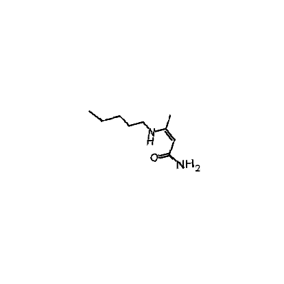 CCCCCN/C(C)=C\C(N)=O